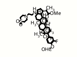 COC(=O)C(C)[C@@H]1CC[C@]2(NCCN3CCS(=O)(=O)CC3)CC[C@]3(C)[C@H](CC[C@@H]4[C@@]5(C)CC=C(c6ccc(OC=O)c(F)c6)C(C)(C)[C@@H]5CC[C@]43C)[C@@H]12